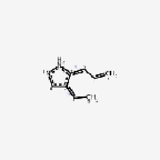 C=C/C=c1/[nH]nc/c1=C/C